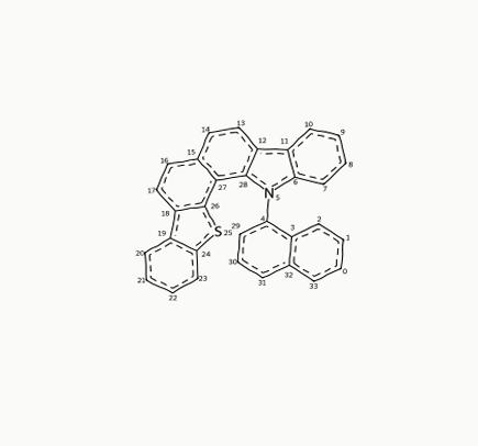 c1ccc2c(-n3c4ccccc4c4ccc5ccc6c7ccccc7sc6c5c43)cccc2c1